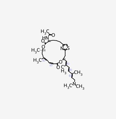 CC(=O)N[C@@H]1CCCc2csc(n2)C[C@@H](/C=C(C)/C=C/C(C)=C/CN(C)C)OC(=O)/C=C\C=C(/C)C[C@H](C)OC1=O